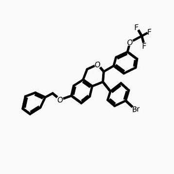 FC(F)(F)Oc1cccc(C2OCc3cc(OCc4ccccc4)ccc3C2c2ccc(Br)cc2)c1